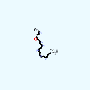 CC/C=C\C[C@H]1OC1/C=C/C=C\C=C/C/C=C\C/C=C\CCC(=O)O